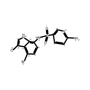 Nc1ccc(S(=O)(=O)Nc2ccc(Br)c3c(Cl)c[nH]c23)cn1